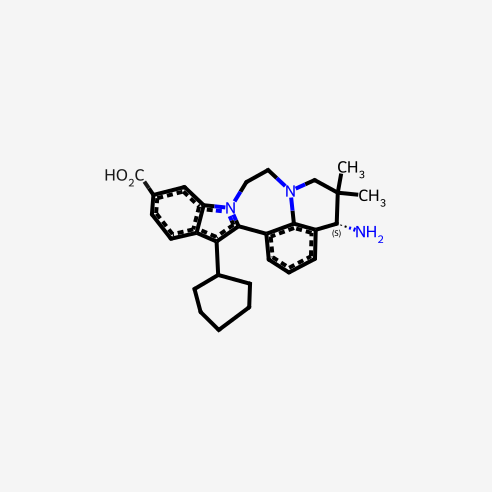 CC1(C)CN2CCn3c(c(C4CCCCC4)c4ccc(C(=O)O)cc43)-c3cccc(c32)[C@H]1N